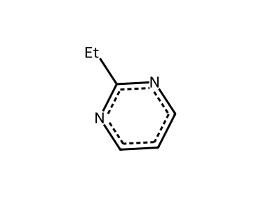 CCc1ncccn1